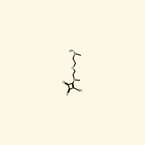 CCCN(C)CCOCCN(C)c1c(C(C)C)c(=S)c1=O